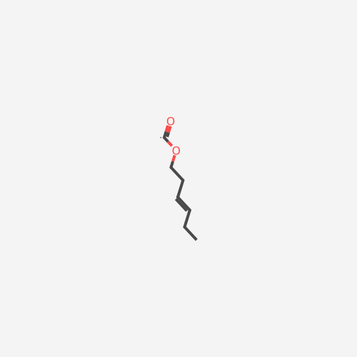 CCC=CCCO[C]=O